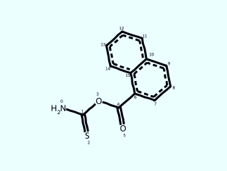 NC(=S)OC(=O)c1cccc2ccccc12